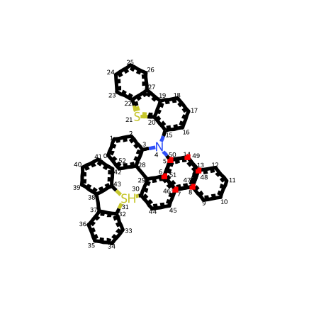 c1ccc(N(c2ccc3ccccc3c2)c2cccc3c2sc2ccccc23)c(-c2c([SH]3c4ccccc4-c4ccccc43)ccc3ccccc23)c1